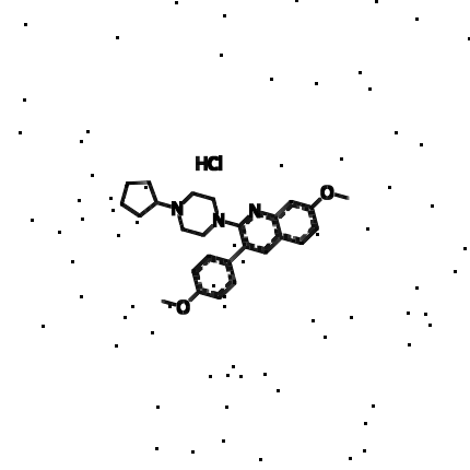 COc1ccc(-c2cc3ccc(OC)cc3nc2N2CCN(C3CCCC3)CC2)cc1.Cl